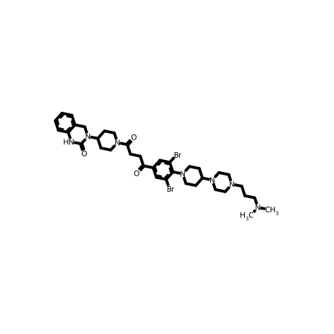 CN(C)CCCN1CCN(C2CCN(c3c(Br)cc(C(=O)CCC(=O)N4CCC(N5Cc6ccccc6NC5=O)CC4)cc3Br)CC2)CC1